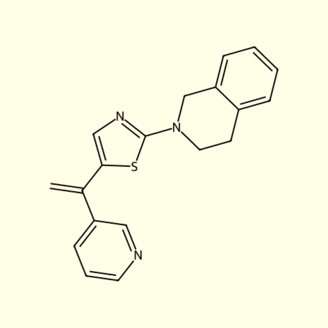 C=C(c1cccnc1)c1cnc(N2CCc3ccccc3C2)s1